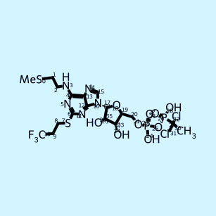 CSCCNc1nc(SCCC(F)(F)F)nc2c1ncn2[C@@H]1OC(COP(=O)(O)OP(=O)(O)C(C)(Cl)Cl)[C@@H](O)[C@H]1O